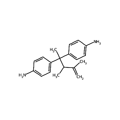 C=C(C)C(C)C(C)(c1ccc(N)cc1)c1ccc(N)cc1